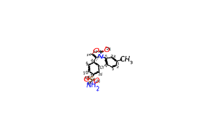 Cc1cccc(-n2c(-c3ccc(S(N)(=O)=O)cc3)coc2=O)c1